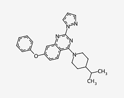 CC(C)C1CCN(c2nc(-n3cccn3)nc3cc(Oc4ccccc4)ccc23)CC1